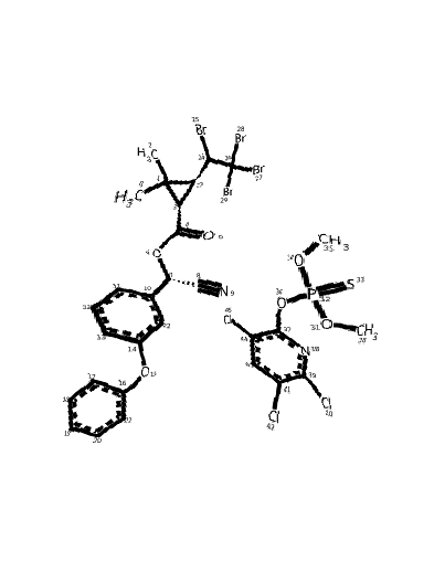 CC1(C)[C@H](C(=O)O[C@H](C#N)c2cccc(Oc3ccccc3)c2)[C@@H]1C(Br)C(Br)(Br)Br.COP(=S)(OC)Oc1nc(Cl)c(Cl)cc1Cl